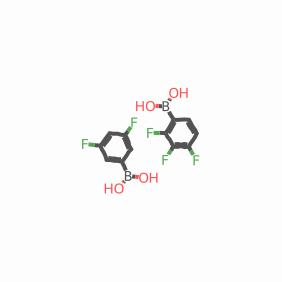 OB(O)c1cc(F)cc(F)c1.OB(O)c1ccc(F)c(F)c1F